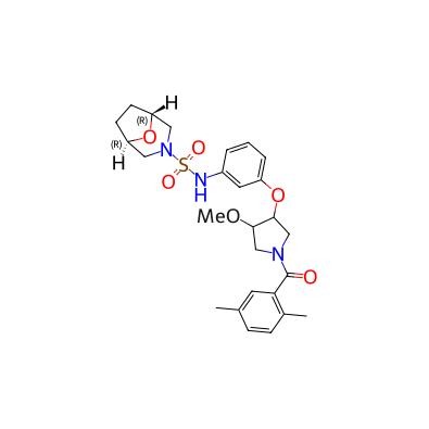 COC1CN(C(=O)c2cc(C)ccc2C)CC1Oc1cccc(NS(=O)(=O)N2C[C@H]3CC[C@H](C2)O3)c1